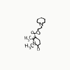 C[C@@H]1[C@@H](C(=O)OCCN2CCCCC2)CCC(=O)N1C